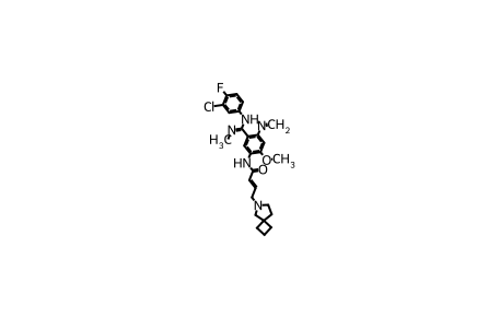 C=Nc1cc(OC)c(NC(=O)/C=C/CN2CCC3(CCC3)C2)cc1/C(=N\C)Nc1ccc(F)c(Cl)c1